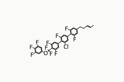 C/C=C/CCc1cc(F)c(-c2cc(F)c(-c3cc(F)c(C(F)(F)Oc4cc(F)c(F)c(F)c4)c(F)c3)c(Cl)c2)c(F)c1